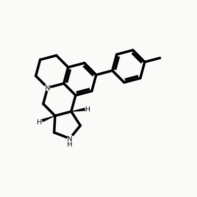 Cc1ccc(-c2cc3c4c(c2)[C@@H]2CNC[C@@H]2CN4CCC3)cc1